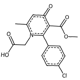 COC(=O)c1c(-c2ccc(Cl)cc2)n(CC(=O)O)c(C)cc1=O